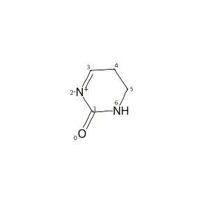 O=C1[N+]=CCCN1